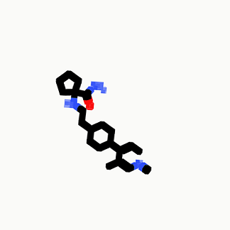 C=N/C=C(C)\C(=C/C)C1CCC(CCNC2(C(N)=O)CCCC2)CC1